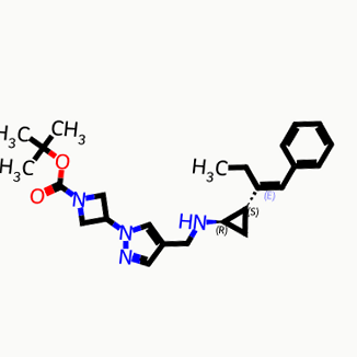 CC/C(=C\c1ccccc1)[C@@H]1C[C@H]1NCc1cnn(C2CN(C(=O)OC(C)(C)C)C2)c1